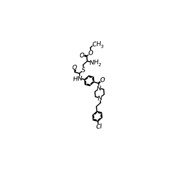 CCOC(=O)C(N)CSC(C=O)Nc1ccc(C(=O)N2CCN(CCc3ccc(Cl)cc3)CC2)cc1